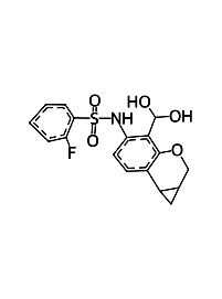 O=S(=O)(Nc1ccc2c(c1C(O)O)OCC1CC21)c1ccccc1F